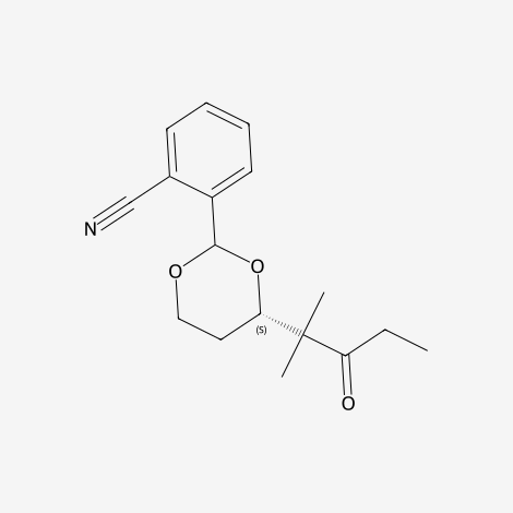 CCC(=O)C(C)(C)[C@@H]1CCOC(c2ccccc2C#N)O1